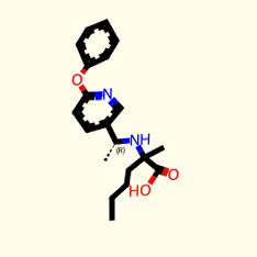 CCCCC(C)(N[C@H](C)c1ccc(Oc2ccccc2)nc1)C(=O)O